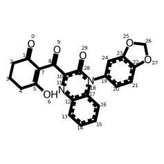 O=C1CCCC(O)=C1C(=O)c1nc2ccccc2n(-c2ccc3c(c2)OCO3)c1=O